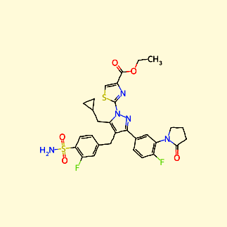 CCOC(=O)c1csc(-n2nc(-c3ccc(F)c(N4CCCC4=O)c3)c(Cc3ccc(S(N)(=O)=O)c(F)c3)c2CC2CC2)n1